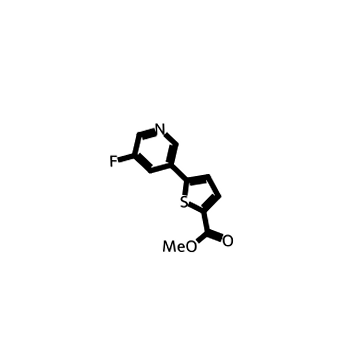 COC(=O)c1ccc(-c2cncc(F)c2)s1